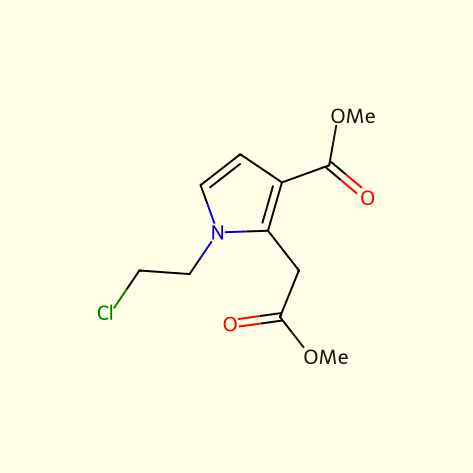 COC(=O)Cc1c(C(=O)OC)ccn1CCCl